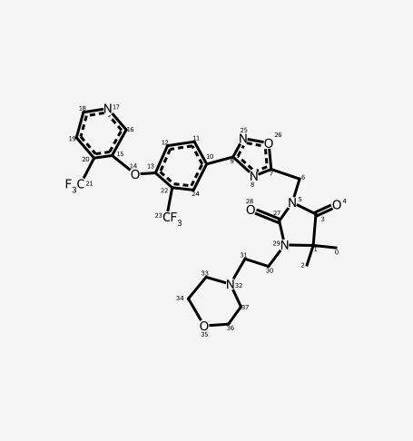 CC1(C)C(=O)N(Cc2nc(-c3ccc(Oc4cnccc4C(F)(F)F)c(C(F)(F)F)c3)no2)C(=O)N1CCN1CCOCC1